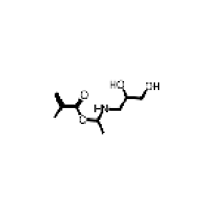 C=C(C)C(=O)OC(C)NCC(O)CO